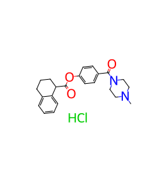 CN1CCN(C(=O)c2ccc(OC(=O)C3CCCc4ccccc43)cc2)CC1.Cl